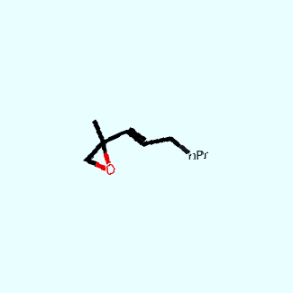 CCCCC=CC1(C)CO1